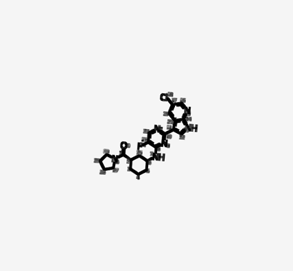 O=C([C@@H]1CCC[C@H](Nc2nc(-c3c[nH]c4ncc(Cl)cc34)ncc2F)C1)N1CCCC1